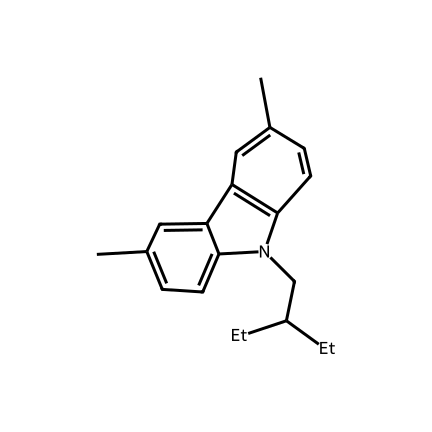 CCC(CC)Cn1c2ccc(C)cc2c2cc(C)ccc21